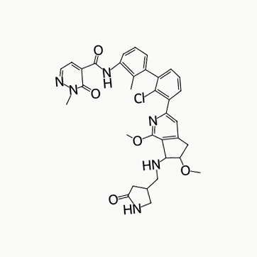 COc1nc(-c2cccc(-c3cccc(NC(=O)c4ccnn(C)c4=O)c3C)c2Cl)cc2c1C(NCC1CNC(=O)C1)C(OC)C2